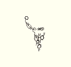 Cl.Cl.O=C(CCCN1CC[C@@H]2[C@@H](C1)c1cc(F)ccc1N2c1ccc(F)cc1)N1CCN(Cc2ccccc2)CC1